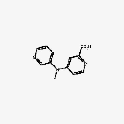 CN(c1cccnc1)c1ccnc(C(=O)O)c1